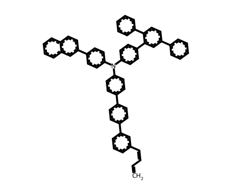 C=C/C=C\c1cccc(-c2ccc(-c3ccc(N(c4ccc(-c5ccc6ccccc6c5)cc4)c4ccc(-c5cc(-c6ccccc6)ccc5-c5ccccc5)cc4)cc3)cc2)c1